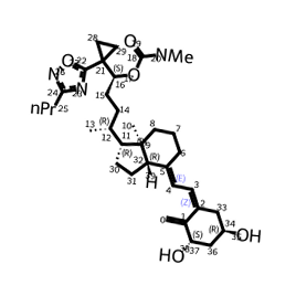 C=C1/C(=C\C=C2/CCC[C@]3(C)[C@@H]([C@H](C)CC[C@H](OC(=O)NC)C4(c5nc(CCC)no5)CC4)CC[C@@H]23)C[C@@H](O)C[C@@H]1O